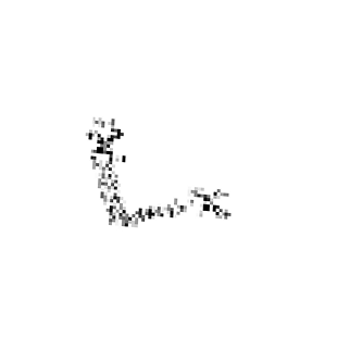 O.O.O.O.O.O.O.O.O.O.O.O.O.O.O=P(O)(O)O.O=P(O)(O)O.[NaH]